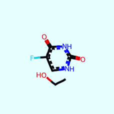 CCO.O=c1[nH]cc(F)c(=O)[nH]1